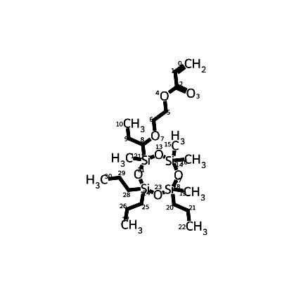 C=CC(=O)OCCOC(CC)[Si]1(C)O[Si](C)(C)O[Si](C)(CCC)O[Si](CCC)(CCC)O1